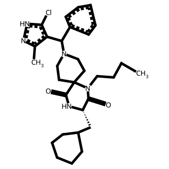 CCCCN1C(=O)[C@H](CC2CCCCC2)NC(=O)C12CCN(C(c1ccccc1)c1c(C)n[nH]c1Cl)CC2